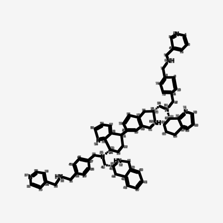 c1cncc(CNCc2ccc(CN(C[C@H]3Cc4ccc(C5CC[C@H](N(Cc6ccc(CNCc7ccncc7)cc6)C[C@H]6Cc7ccccc7CN6)c6ncccc65)cc4CN3)[C@H]3CCCc4cccnc43)cc2)c1